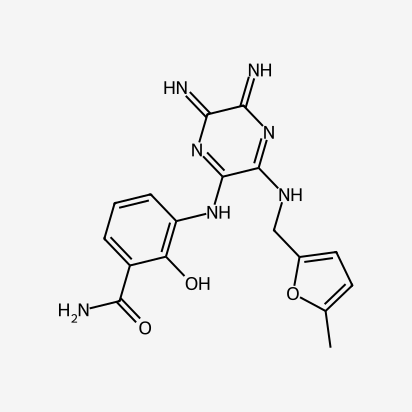 Cc1ccc(CNC2=NC(=N)C(=N)N=C2Nc2cccc(C(N)=O)c2O)o1